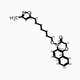 Cc1cc(CCCCCCCON2C(=O)COc3c2ccc2ccccc32)on1